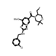 COc1cc(C(=O)N2CC(C)(C)OCC2CF)cn2nc(NCc3cccc(Cl)c3)nc12